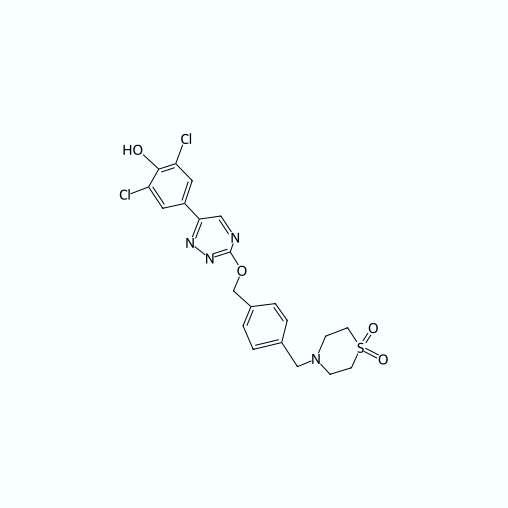 O=S1(=O)CCN(Cc2ccc(COc3ncc(-c4cc(Cl)c(O)c(Cl)c4)nn3)cc2)CC1